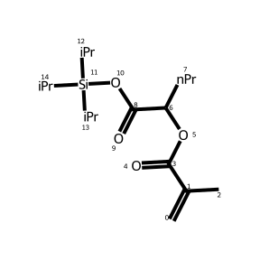 C=C(C)C(=O)OC(CCC)C(=O)O[Si](C(C)C)(C(C)C)C(C)C